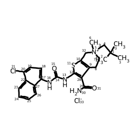 CC(C)(C)C[N+]1(C)CCc2c(sc(NC(=O)Nc3ccc(Cl)c4ccccc34)c2C(N)=O)C1.[Cl-]